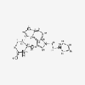 O=C1CC[C@H](c2coc3ccc4c(ccn4CCN4CCCC4)c23)C(=O)N1